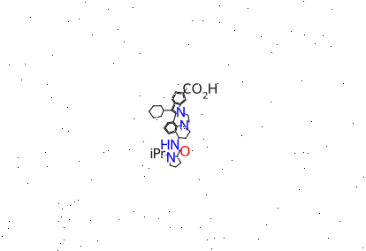 CC(C)N1CCCC1C(=O)N[C@@H]1CCN2CCn3c(c(C4CCCCC4)c4ccc(C(=O)O)cc43)-c3cccc1c32